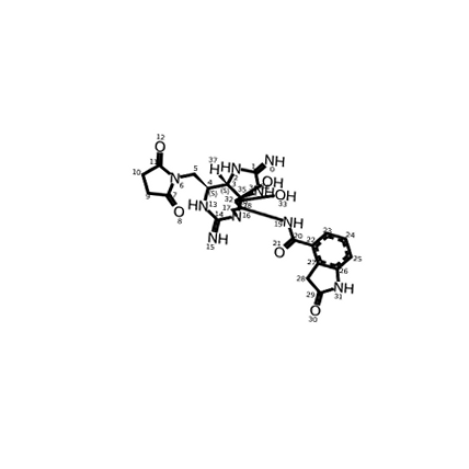 N=C1N[C@H]2[C@H](CN3C(=O)CCC3=O)NC(=N)N3CC(NC(=O)c4cccc5c4CC(=O)N5)C(O)(O)[C@]23N1